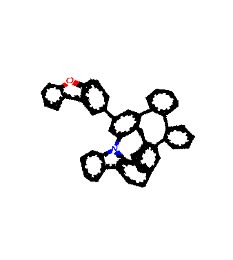 c1ccc2c(c1)-c1ccccc1-c1cc(-c3ccc4oc5ccccc5c4c3)cc(-n3c4ccccc4c4ccccc43)c1-c1ccccc1-2